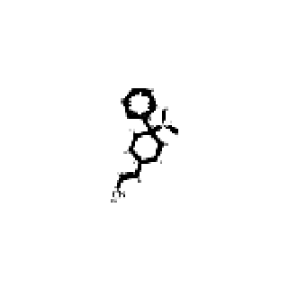 CN(C)C1(c2ccccc2)CCC(C=CC#N)CC1